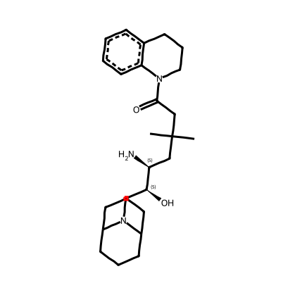 CC(C)(CC(=O)N1CCCc2ccccc21)C[C@H](N)[C@@H](O)CN1C2CCCC1CCC2